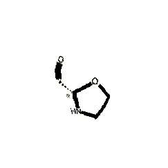 O=C[C@H]1NCCO1